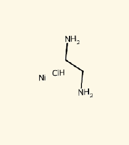 Cl.NCCN.[Ni]